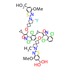 COc1cc(C(=O)O)cc2sc(N3CC4(CC(OCc5c(-c6c(Cl)ccc(C7CC7c7onc(-c8c(Cl)cccc8Cl)c7COC7CC8(C7)C[C@@H](C)N(c7nc9c(OC)cc(C(O)O)cc9s7)C8)c6Cl)noc5C5CC5)C4)C[C@H]3CF)nc12